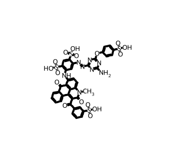 Cn1c(=O)c(C(=O)c2cccc(S(=O)(=O)O)c2)c2c3c(c(Nc4cc(N=Nc5nc(N)nc(Oc6ccc(S(=O)(=O)O)cc6)n5)c(S(=O)(=O)O)cc4S(=O)(=O)O)ccc31)C(=O)c1ccccc1-2